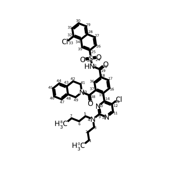 CCCCN(CCCC)c1ncc(Cl)c(-c2ccc(C(=O)NS(=O)(=O)c3ccc4cccc(Cl)c4c3)cc2C(=O)N2CCc3ccccc3C2)n1